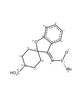 CC(C)(C)[S@@+]([O-])/N=C1\c2cccnc2OC12CCN(C(=O)O)CC2